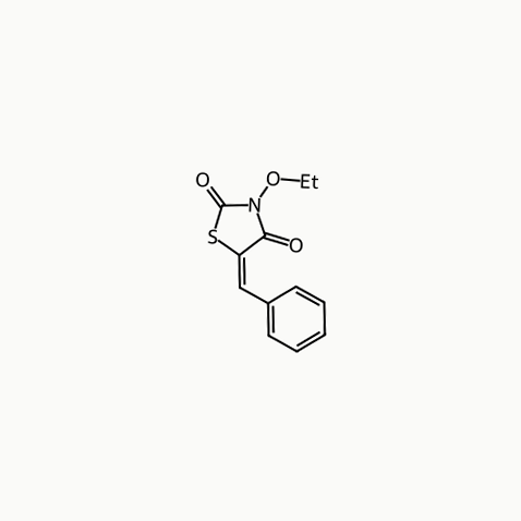 CCON1C(=O)SC(=Cc2ccccc2)C1=O